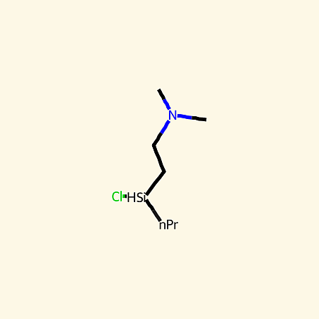 CCC[SiH](Cl)CCN(C)C